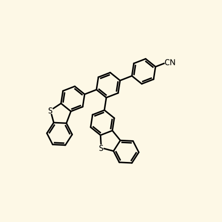 N#Cc1ccc(-c2ccc(-c3ccc4sc5ccccc5c4c3)c(-c3ccc4sc5ccccc5c4c3)c2)cc1